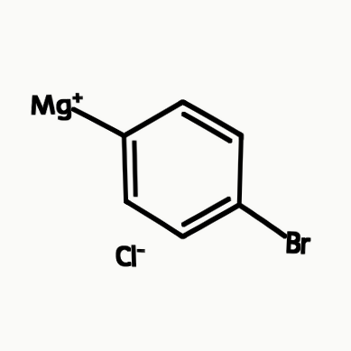 [Cl-].[Mg+][c]1ccc(Br)cc1